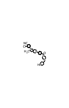 CC1CC2(CCN(c3ccc(C(=O)N4CCN(CC5CCNCC5)CC4)cc3)CC2)CN1c1ccc(C#N)c(Cl)c1